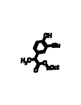 CCCCCCCCOC(=O)C(C)c1ccc(O)c(C(C)(C)C)c1